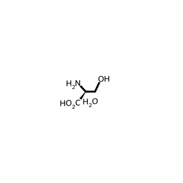 N[C@@H](CO)C(=O)O.O